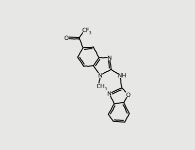 Cn1c(Nc2nc3ccccc3o2)nc2cc(C(=O)C(F)(F)F)ccc21